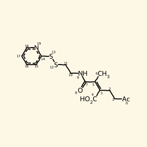 CC(=O)CC/C(C(=O)O)=C(\C)C(=O)NCCSSc1ccccn1